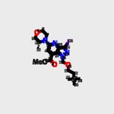 COC(=O)c1cc(N2CCOC[C@H]2C)nc2c(I)nn(COCC[Si](C)(C)C)c12